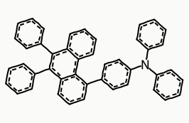 c1ccc(-c2c(-c3ccccc3)c3cccc(-c4ccc(N(c5ccccc5)c5ccccc5)cc4)c3c3ccccc23)cc1